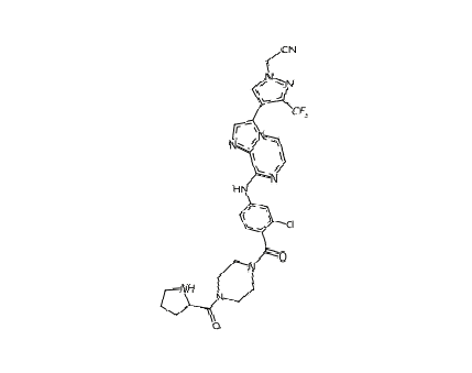 N#CCn1cc(-c2cnc3c(Nc4ccc(C(=O)N5CCN(C(=O)[C@H]6CCCN6)CC5)c(Cl)c4)nccn23)c(C(F)(F)F)n1